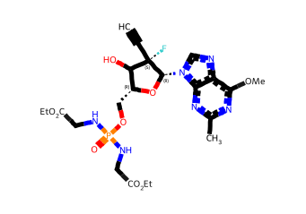 C#C[C@]1(F)C(O)[C@@H](COP(=O)(NCC(=O)OCC)NCC(=O)OCC)O[C@H]1n1cnc2c(OC)nc(C)nc21